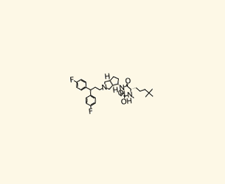 CN(C(=O)O)[C@@H](CCCC(C)(C)C)C(=O)N[C@H]1CC[C@@H]2CN(CCC(c3ccc(F)cc3)c3ccc(F)cc3)C[C@@H]21